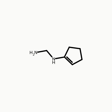 NCNC1=CCCC1